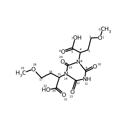 COCCC(C(=O)O)n1c(=O)[nH]c(=O)n(C(CCOC)C(=O)O)c1=O